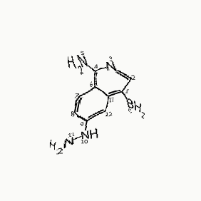 Bc1cnc(N)c2ccc(NN)cc12